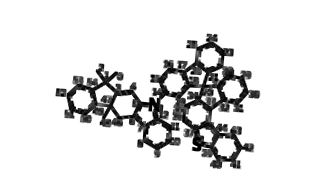 CC1(C)C2=Cc3c(c4ccccc4n3-c3ccc4c(c3)C3(c5ccccc5-4)c4ccccc4-c4c3ccc3sc5ccccc5c43)CC2(C)c2ccccc21